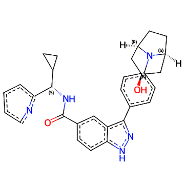 O=C(N[C@H](c1ccccn1)C1CC1)c1ccc2[nH]nc(-c3ccc(N4[C@@H]5CC[C@H]4C[C@@H](O)C5)cc3)c2c1